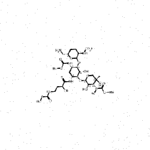 CC(=O)N(C(=O)OC(C)(C)C)[C@@H]1[C@@H](O)[C@@H](O[C@@H]2[C@@H](O)[C@H](OC3O[C@H](CN)CC[C@H]3NC(=O)O)[C@@H](NC(=O)OC(C)(C)C)C[C@H]2NC(=O)C(O)CCNC(=O)OC(C)(C)C)OC[C@]1(C)O